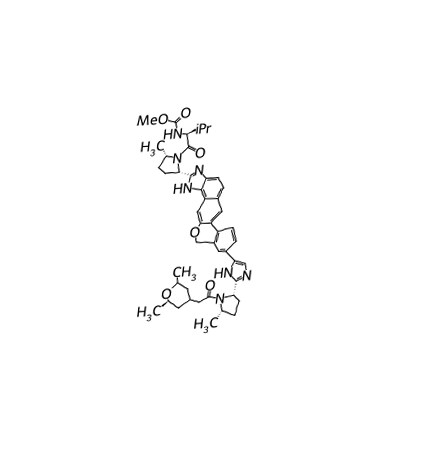 COC(=O)N[C@H](C(=O)N1[C@@H](C)CC[C@H]1c1nc2ccc3cc4c(cc3c2[nH]1)OCc1cc(-c2cnc([C@@H]3CC[C@H](C)N3C(=O)CC3CC(C)O[C@H](C)C3)[nH]2)ccc1-4)C(C)C